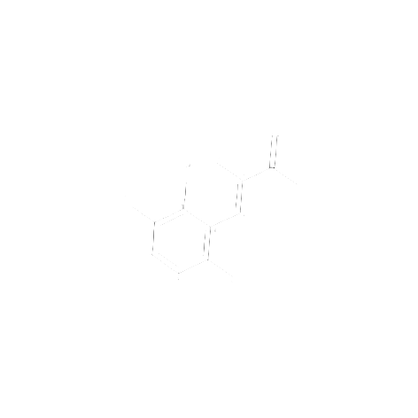 C=C(C)/C(C)=C/c1c(C)ccc(CC)c1I